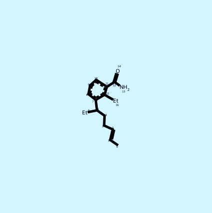 CC=CCCC(CC)c1cccc(C(N)=O)c1CC